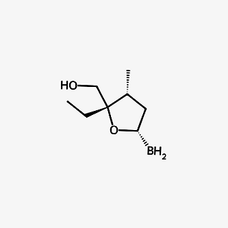 B[C@H]1C[C@@H](C)[C@@](CC)(CO)O1